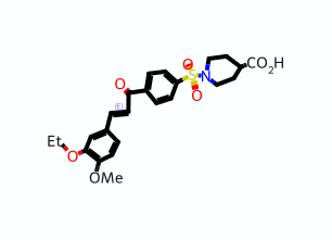 CCOc1cc(/C=C/C(=O)c2ccc(S(=O)(=O)N3CCC(C(=O)O)CC3)cc2)ccc1OC